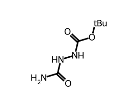 CC(C)(C)OC(=O)NNC(N)=O